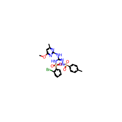 COc1cc(C)nc(NC(=NNS(=O)(=O)c2ccc(C)cc2)NS(=O)(=O)c2ccccc2Br)n1